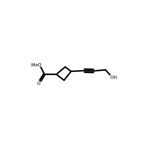 COC(=O)C1CC(C#CCO)C1